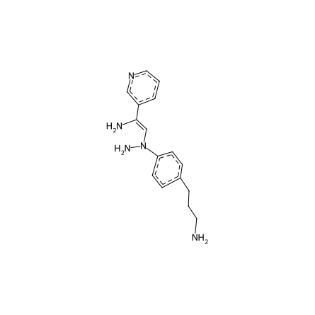 NCCCc1ccc(N(N)/C=C(\N)c2cccnc2)cc1